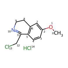 COc1ccc2c(c1)CCN=C2CCl.Cl